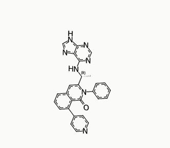 C[C@@H](Nc1ncnc2[nH]cnc12)c1cc2cccc(-c3ccncc3)c2c(=O)n1-c1ccccc1